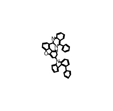 C1=c2oc3cccc(C4N=c5ccccc5=C(c5ccccc5)N4)c3c2=CCC1n1c2ccccc2c2c(-c3ccccc3)cccc21